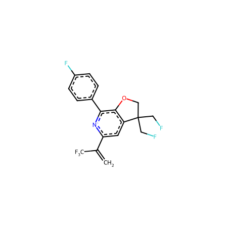 C=C(c1cc2c(c(-c3ccc(F)cc3)n1)OCC2(CF)CF)C(F)(F)F